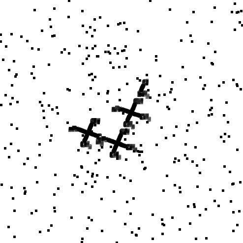 CCCC(C)(C)O.CCCC(C)(C)O.CCCC(C)(C)O.[SiH3]Cl